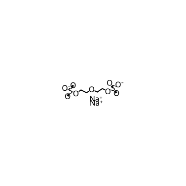 O=S(=O)([O-])OCCOCCOS(=O)(=O)[O-].[Na+].[Na+]